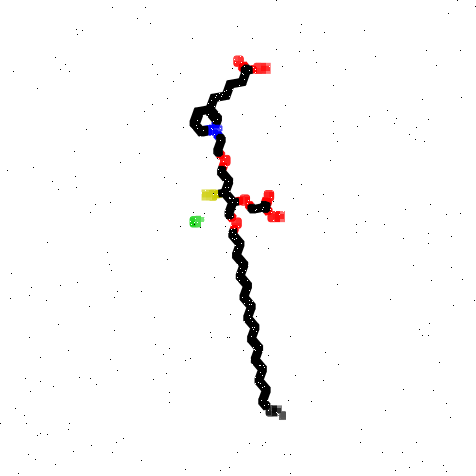 CCCCCCCCCCCCCCCCCCOCC(OCC(=O)O)C(S)CCOCC[n+]1cccc(CCCCC(=O)O)c1.[Cl-]